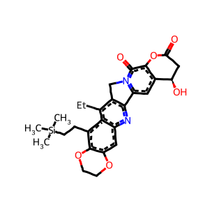 CCc1c2c(nc3cc4c(c(CC[Si](C)(C)C)c13)OCCO4)-c1cc3c(c(=O)n1C2)OC(=O)C[C@H]3O